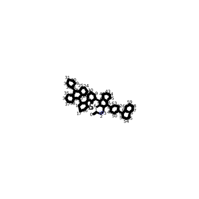 C=C/C=C\c1c(C)c(-c2cccc3c2sc2cccc(-c4c5ccccc5c(-c5ccccc5)c5ccccc45)c23)c2ccccc2c1-c1ccc(-c2cccc3ccccc23)cc1